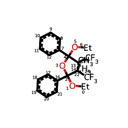 CCOC(OC(OCC)(c1ccccc1)C(C)C(F)(F)F)(c1ccccc1)C(C)C(F)(F)F